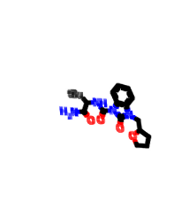 CC(C)(C)C(NC(=O)n1c(=O)n(CC2CCCO2)c2ccccc21)C(N)=O